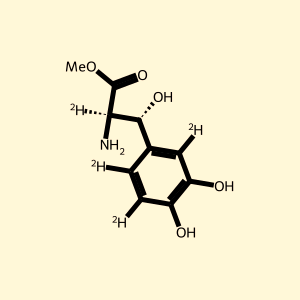 [2H]c1c([2H])c([C@@H](O)[C@@]([2H])(N)C(=O)OC)c([2H])c(O)c1O